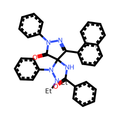 CCN(CC)N(c1ccccc1)C1(NC(=O)c2ccccc2)C(=O)N(c2ccccc2)N=C1c1cccc2ccccc12